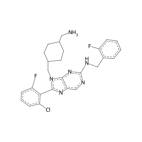 NCC1CCC(Cn2c(-c3c(F)cccc3Cl)nc3cnc(NCc4ccccc4F)nc32)CC1